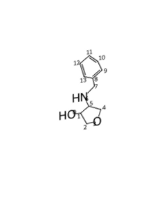 OC1COCC1NCc1ccccc1